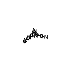 N#Cc1ccc(-c2cc3n(c2)Cc2cc(N4CCC(N5CCCC5)CC4)ccc2-n2cnnc2-3)cc1